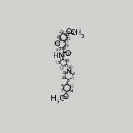 COc1ccc(C2CCN(C[C@@H]3CC[C@H](NC(=O)C4=Cc5cc(OC)ccc5OC4)C3)CC2)cc1